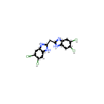 Clc1cc2nc(Cc3nc4cc(Cl)c(Cl)cc4[nH]3)[nH]c2cc1Cl